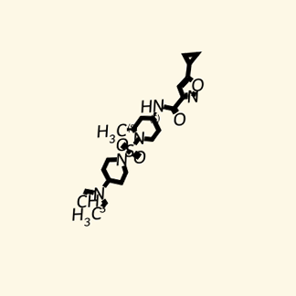 CCN(CC)C1CCN(S(=O)(=O)N2CC[C@H](NC(=O)c3cc(C4CC4)on3)C[C@@H]2C)CC1